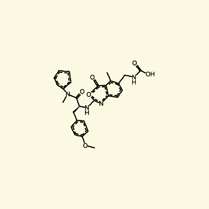 COc1ccc(C[C@H](Nc2nc3ccc(CNC(=O)O)c(C)c3c(=O)o2)C(=O)N(C)c2ccccc2)cc1